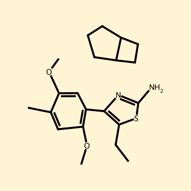 C1CC2CCC2C1.CCc1sc(N)nc1-c1cc(OC)c(C)cc1OC